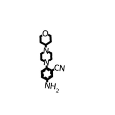 N#Cc1cc(N)ccc1N1CCN(C2CCOCC2)CC1